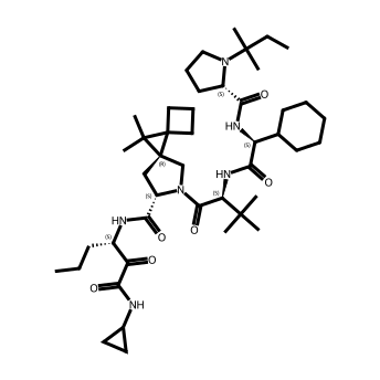 CCC[C@H](NC(=O)[C@@H]1C[C@@]2(CN1C(=O)[C@@H](NC(=O)[C@@H](NC(=O)[C@@H]1CCCN1C(C)(C)CC)C1CCCCC1)C(C)(C)C)C(C)(C)C21CCC1)C(=O)C(=O)NC1CC1